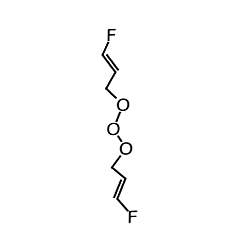 FC=CCOOOCC=CF